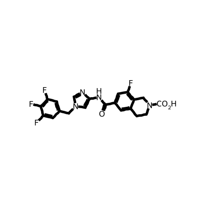 O=C(Nc1cn(Cc2cc(F)c(F)c(F)c2)cn1)c1cc(F)c2c(c1)CCN(C(=O)O)C2